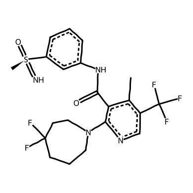 Cc1c(C(F)(F)F)cnc(N2CCCC(F)(F)CC2)c1C(=O)Nc1cccc([S@](C)(=N)=O)c1